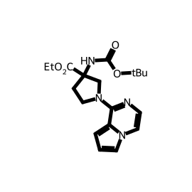 CCOC(=O)C1(NC(=O)OC(C)(C)C)CCN(c2nccn3cccc23)C1